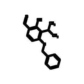 CC(C)c1c(OCc2ccccc2)ccc(C=O)c1O